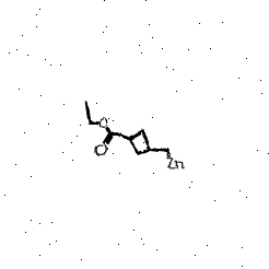 CCOC(=O)C1CC([CH2][Zn])C1